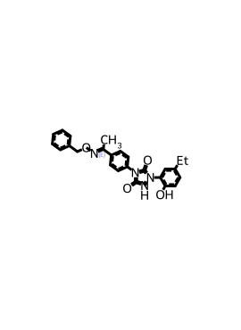 CCc1ccc(O)c(-n2[nH]c(=O)n(-c3ccc(/C(C)=N/OCc4ccccc4)cc3)c2=O)c1